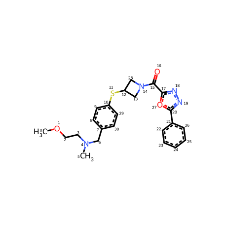 COCCN(C)Cc1ccc(SC2CN(C(=O)c3nnc(-c4ccccc4)o3)C2)cc1